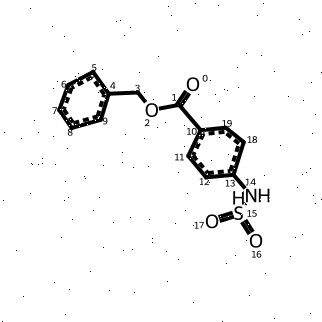 O=C(OCc1ccccc1)c1ccc(N[SH](=O)=O)cc1